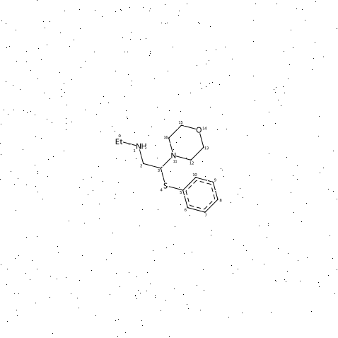 CCNCC(Sc1ccccc1)N1CCOCC1